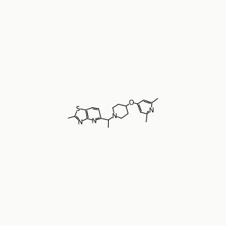 Cc1cc(OC2CCN(C(C)c3ccc4sc(C)nc4n3)CC2)cc(C)n1